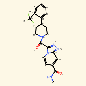 CNC(=O)c1ccn2c(C(=O)N3CCC(c4ccccc4C(F)(F)F)CC3)nnc2c1